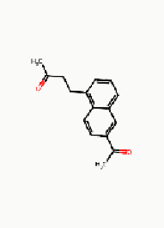 CC(=O)CCc1cccc2cc(C(C)=O)ccc12